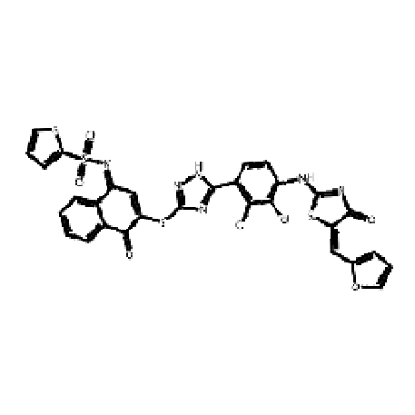 O=C1N=C(Nc2ccc(-c3nc(SC4=C/C(=N/S(=O)(=O)c5cccs5)c5ccccc5C4=O)n[nH]3)c(Cl)c2Cl)S/C1=C/c1ccco1